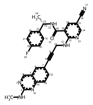 CNc1ncc2cc(C#CCNc3ncc(C#N)cc3C(=O)N[C@@H](C)c3ccc(F)cc3)ccc2n1